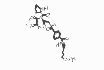 CCC(C(=O)C(F)(F)F)N(C(=O)[C@H](C)NC(=O)c1ccc(C(=O)NCCCCC(=O)O)cc1)C(=O)[C@@H]1CCCN1